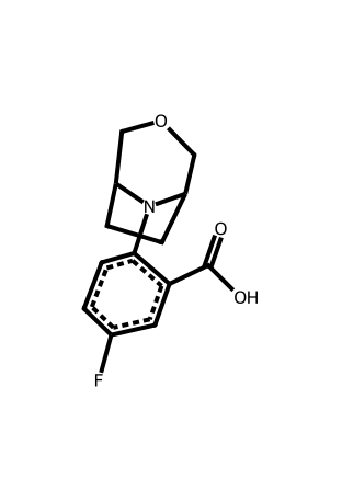 O=C(O)c1cc(F)ccc1N1C2CCC1COC2